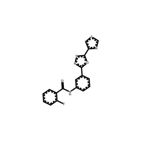 O=C(Nc1cccc(-c2nnc(-c3cscn3)o2)c1)c1ccccc1F